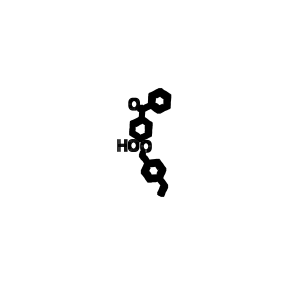 C=Cc1ccc(COC2(O)C=CC(C(=O)c3ccccc3)=CC2)cc1